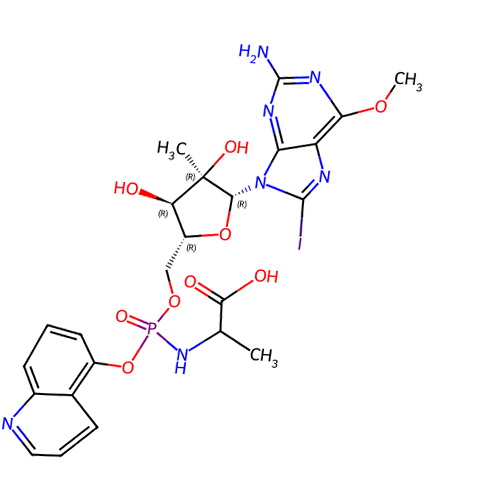 COc1nc(N)nc2c1nc(I)n2[C@@H]1O[C@H](COP(=O)(NC(C)C(=O)O)Oc2cccc3ncccc23)[C@@H](O)[C@@]1(C)O